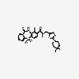 Cc1c(C(=O)NCc2cnc(N3CCC(F)(F)CC3)s2)ccc2c1NC(=O)c1ccccc1S2(=O)=O